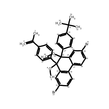 C=C(C)c1ccc(C2(OC)c3cc(Br)ccc3-c3ccc(Br)cc3C2(OC)c2ccc(C(C)(C)C)cc2)cc1